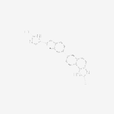 CCc1nc2ccc3cc(-c4ccc5cc(-c6cnc(C(C)C)[nH]6)sc5c4)ccc3c2[nH]1